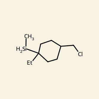 CCC1([SiH2]C)CCC(CCl)CC1